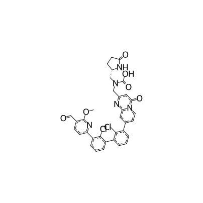 COc1nc(-c2cccc(-c3cccc(-c4ccn5c(=O)cc(CN(C[C@@H]6CCC(=O)N6)C(=O)O)nc5c4)c3Cl)c2Cl)ccc1C=O